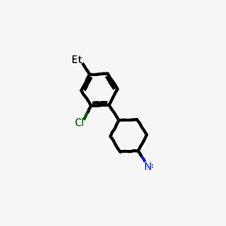 CCc1ccc(C2CCC([N])CC2)c(Cl)c1